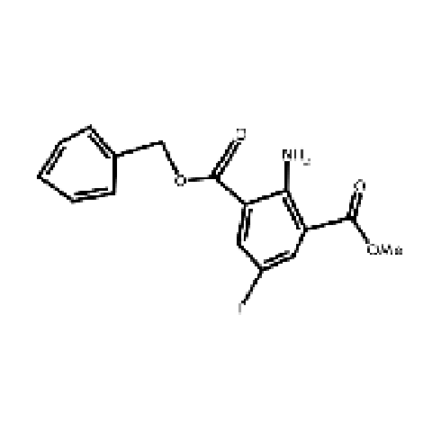 COC(=O)c1cc(I)cc(C(=O)OCc2ccccc2)c1N